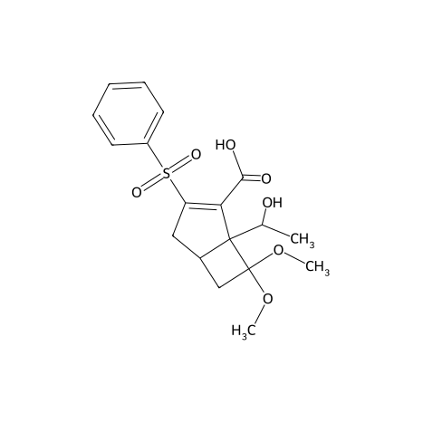 COC1(OC)CC2CC(S(=O)(=O)c3ccccc3)=C(C(=O)O)C21C(C)O